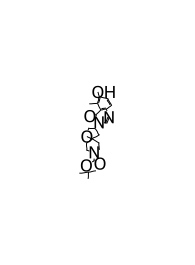 Cc1c(O)ccc2ncn(C3COC4(CCN(C(=O)OC(C)(C)C)CC4)C3)c(=O)c12